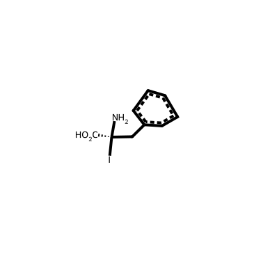 N[C@](I)(Cc1ccccc1)C(=O)O